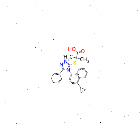 CC(C)(Sc1nnc(C2=CCCC=C2)n1-c1ccc(C2CC2)c2ccccc12)C(=O)O